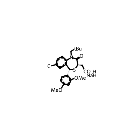 COc1ccc([C@H]2S[C@H](CC(=O)O)C(=O)N(CC(C)(C)C)c3ccc(Cl)cc32)c(OC)c1.[NaH]